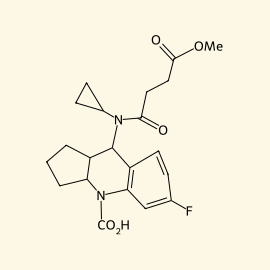 COC(=O)CCC(=O)N(C1CC1)C1c2ccc(F)cc2N(C(=O)O)C2CCCC21